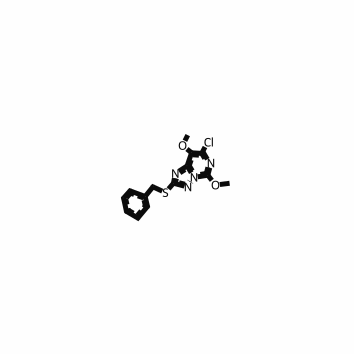 COc1c(Cl)nc(OC)n2nc(SCc3ccccc3)nc12